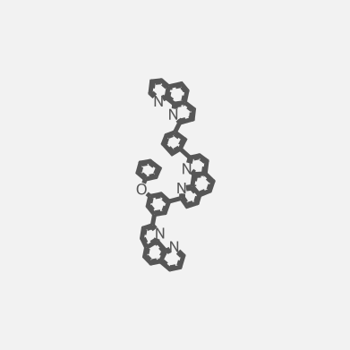 c1ccc(Oc2cc(-c3ccc4ccc5cccnc5c4n3)cc(-c3ccc4ccc5ccc(-c6cccc(-c7ccc8ccc9cccnc9c8n7)c6)nc5c4n3)c2)cc1